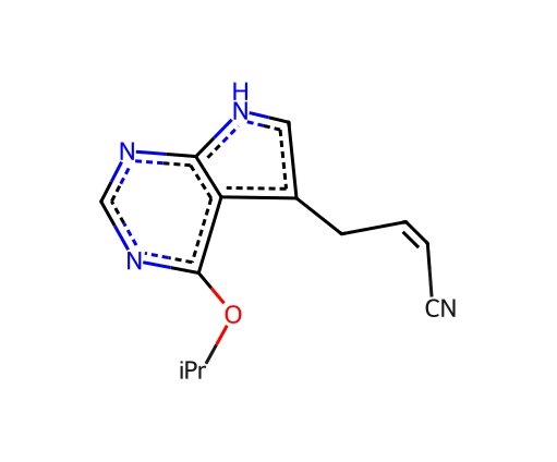 CC(C)Oc1ncnc2[nH]cc(C/C=C\C#N)c12